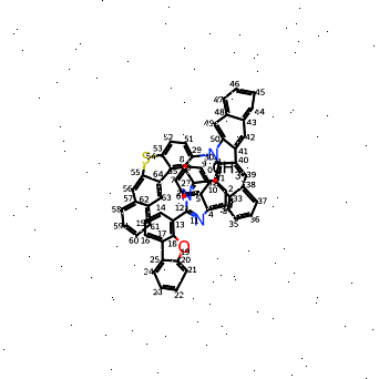 CC1C/C=C(c2ccccc2)/N=C(c2cccc3c2oc2ccccc23)\N=C/1c1c(-n2c3cc4ccccc4cc3c3cc4ccccc4cc32)ccc2sc3cc4ccccc4cc3c12